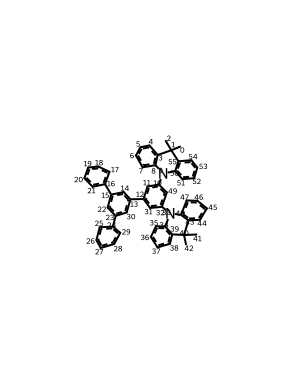 CC1(C)c2ccccc2N(c2cc(-c3cc(-c4ccccc4)cc(-c4ccccc4)c3)cc(N3c4ccccc4C(C)(C)c4ccccc43)c2)c2ccccc21